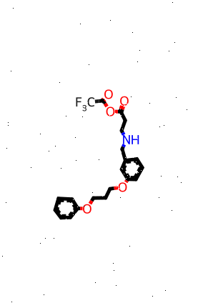 O=C(CCNCc1cccc(OCCCOc2ccccc2)c1)OC(=O)C(F)(F)F